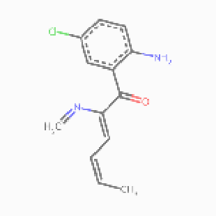 C=N/C(=C\C=C/C)C(=O)c1cc(Cl)ccc1N